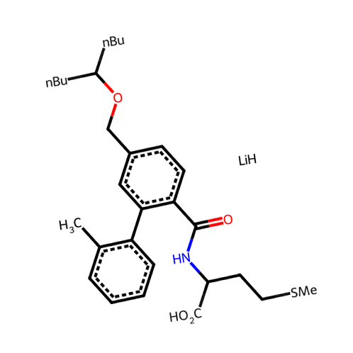 CCCCC(CCCC)OCc1ccc(C(=O)NC(CCSC)C(=O)O)c(-c2ccccc2C)c1.[LiH]